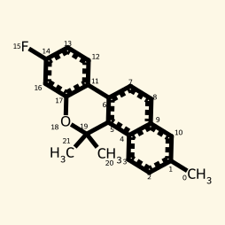 Cc1ccc2c3c(ccc2c1)-c1ccc(F)cc1OC3(C)C